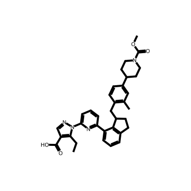 CCc1c(C(=O)O)cnn1-c1cccc(-c2cccc3c2C(Cc2ccc(C4CCN(C(=O)OC)CC4)cc2C)CC3)n1